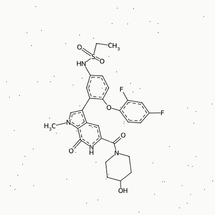 CCS(=O)(=O)Nc1ccc(Oc2ccc(F)cc2F)c(-c2cn(C)c3c(=O)[nH]c(C(=O)N4CCC(O)CC4)cc23)c1